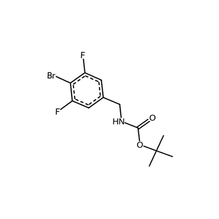 CC(C)(C)OC(=O)NCc1cc(F)c(Br)c(F)c1